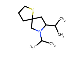 CC(C)C1CC2(CCCS2)CN1C(C)C